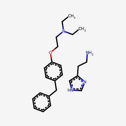 CCN(CC)CCOc1ccc(Cc2ccccc2)cc1.NCCc1c[nH]cn1